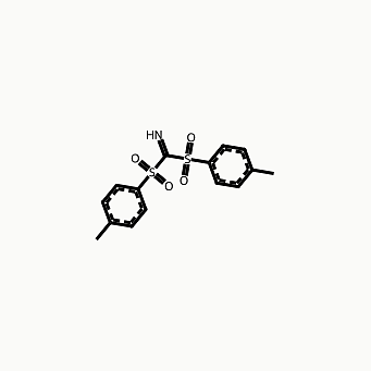 Cc1ccc(S(=O)(=O)C(=N)S(=O)(=O)c2ccc(C)cc2)cc1